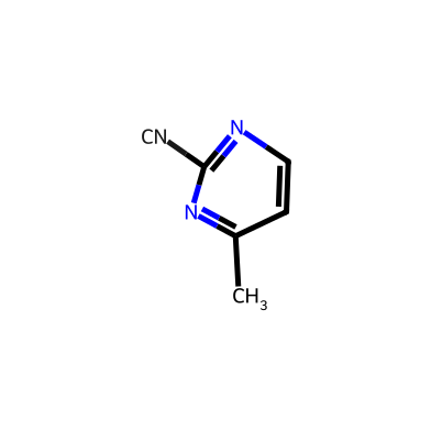 [C-]#[N+]c1nccc(C)n1